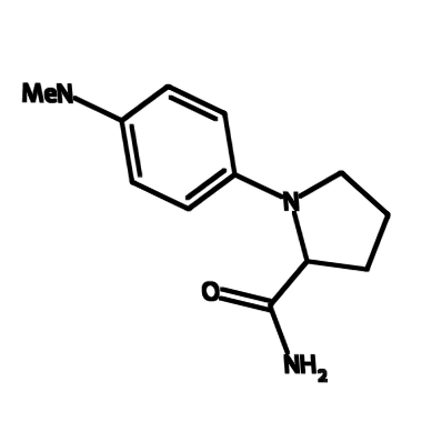 CNc1ccc(N2CCCC2C(N)=O)cc1